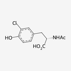 CC(=O)N[C@@H](Cc1ccc(O)c(Cl)c1)C(=O)O